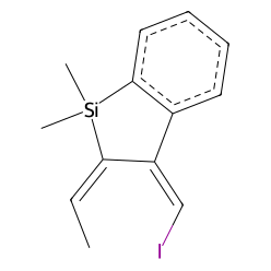 C/C=C1\C(=C/I)c2ccccc2[Si]1(C)C